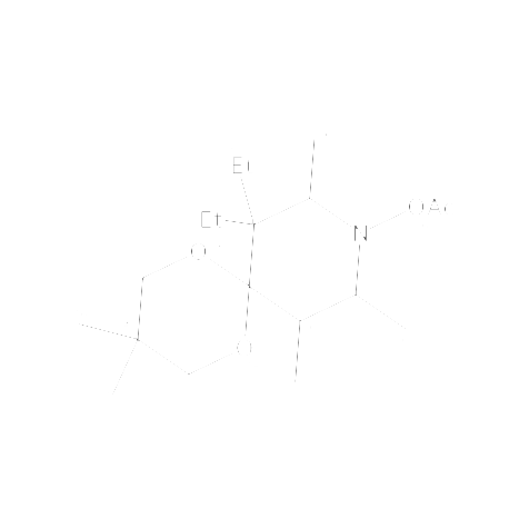 CCC1(CC)C(C)N(OC(C)=O)C(C)C(C)C12OCC(C)(C)CO2